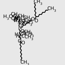 CCCCCCCCCCC(=O)OCCCCC(CN(CCCCN(C)C(=O)OC(C)(C)C)CC(CCCCCOC(=O)C(CCCCCCCC)CCCCCCCC)O[Si](C)(C)C(C)(C)C)O[Si](C)(C)C(C)(C)C